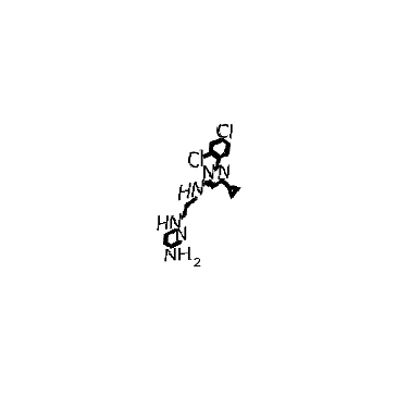 Nc1ccc(NCCCNc2cc(C3CC3)nc(-c3ccc(Cl)cc3Cl)n2)nc1